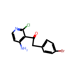 Nc1ccnc(Cl)c1C(=O)Cc1ccc(Br)cc1